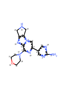 Nc1ncc(-c2cn3c4c(nc3c(N3CCOCC3)n2)CNC4)cn1